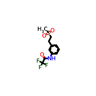 CS(=O)(=O)CCc1cccc(NC(=O)C(F)(F)F)c1